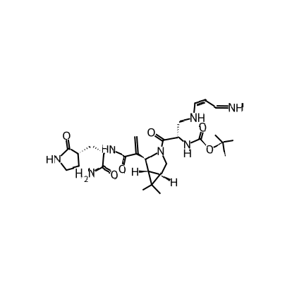 C=C(C(=O)N[C@@H](C[C@@H]1CCNC1=O)C(N)=O)[C@@H]1[C@@H]2[C@H](CN1C(=O)[C@H](CN/C=C\C=N)NC(=O)OC(C)(C)C)C2(C)C